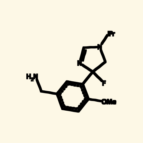 COc1ccc(CN)cc1C1(F)CN(C(C)C)C=N1